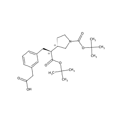 CC(C)(C)OC(=O)[C@@H](Cc1cccc(CC(=O)O)c1)[C@@H]1CCN(C(=O)OC(C)(C)C)C1